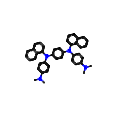 CN(C)c1ccc(N(c2ccc(N(c3ccc(N(C)C)cc3)c3cccc4ccccc34)cc2)c2cccc3ccccc23)cc1